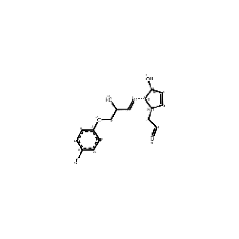 O=CC[C@@H]1C=C[C@H](O)[C@H]1C=CC(O)COc1ccc(F)cc1